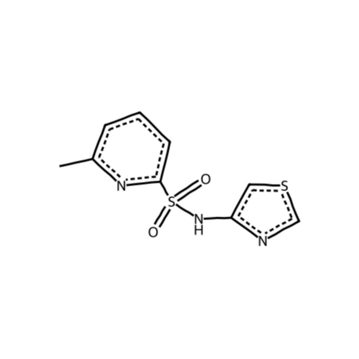 Cc1cccc(S(=O)(=O)Nc2cscn2)n1